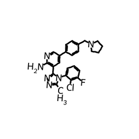 Cc1nnc(-c2cc(-c3ccc(CN4CCCC4)cc3)cnc2N)n1-c1cccc(F)c1Cl